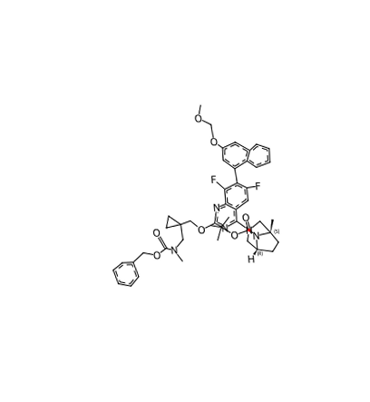 COCOc1cc(-c2c(F)cc3c(N4C[C@H]5CC[C@@](C)(C4)N5C(=O)OC(C)(C)C)nc(OCC4(CN(C)C(=O)OCc5ccccc5)CC4)nc3c2F)c2ccccc2c1